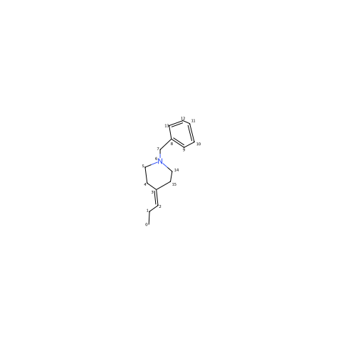 CCC=C1CCN(Cc2ccccc2)CC1